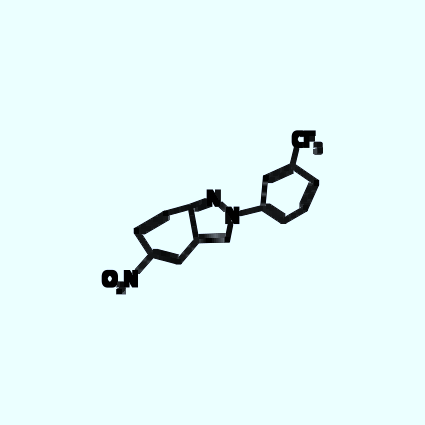 O=[N+]([O-])c1ccc2nn(-c3cccc(C(F)(F)F)c3)cc2c1